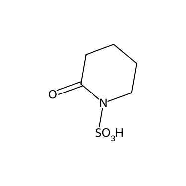 O=C1CCCCN1S(=O)(=O)O